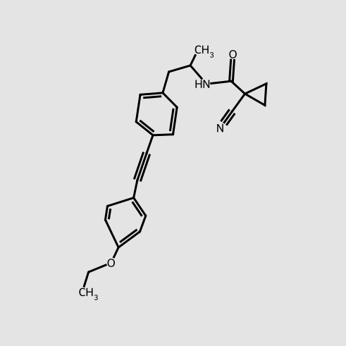 CCOc1ccc(C#Cc2ccc(CC(C)NC(=O)C3(C#N)CC3)cc2)cc1